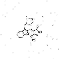 CC(C)OC1=NNC(=O)/C1=C/c1[nH]c2c(c1CN1CCOCC1)CCCC2